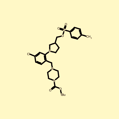 Cc1ccc(S(=O)(=O)OCC2CCN(c3cc(Cl)ccc3CN3CCN(C(=O)OC(C)(C)C)CC3)C2)cc1